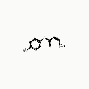 CC(C)(C)c1ccc(OC(=O)/C=C\C(=O)O)cc1